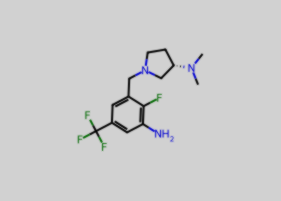 CN(C)[C@H]1CCN(Cc2cc(C(F)(F)F)cc(N)c2F)C1